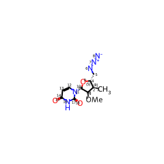 CO[C@@H]1[C@H](C)[C@@H](CN=[N+]=[N-])O[C@H]1n1ccc(=O)[nH]c1=O